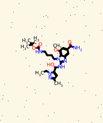 CCn1nc(C)cc1C(O)Nc1nc2cc(C(N)=O)cc(OC)c2n1CCCCNC(=O)OC(C)(C)C